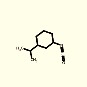 CC(C)C1CCCC(N=C=O)C1